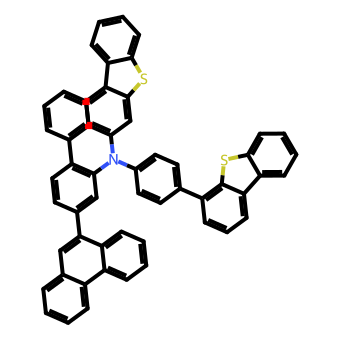 c1ccc(-c2ccc(-c3cc4ccccc4c4ccccc34)cc2N(c2ccc(-c3cccc4c3sc3ccccc34)cc2)c2ccc3c(c2)sc2ccccc23)cc1